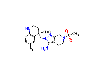 CCc1ccc2c(c1)C(C=O)(Cn1nc3c(c1N)CCN(S(C)(=O)=O)C3)CCN2